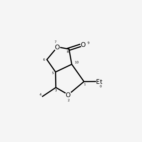 CCC1OC(C)C2COC(=O)C12